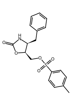 Cc1ccc(S(=O)(=O)OC[C@H]2OC(=O)N[C@H]2Cc2ccccc2)cc1